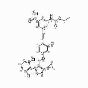 CCOC(=O)Nc1cc(C#Cc2ccc(OCc3c(-c4c(Cl)cccc4Cl)noc3C3CC3)cc2Cl)cc(C(=O)O)c1